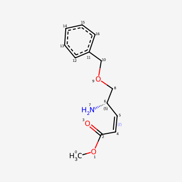 COC(=O)/C=C\[C@H](N)COCc1ccccc1